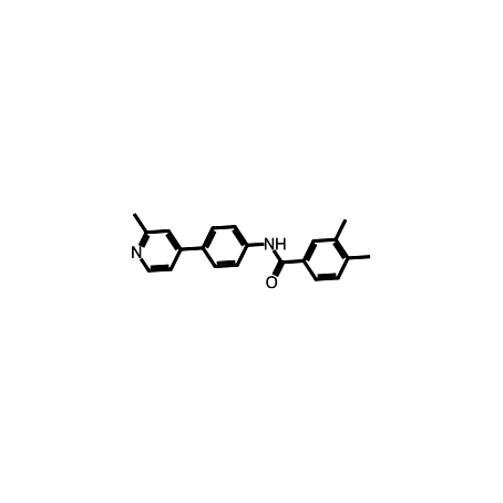 Cc1cc(-c2ccc(NC(=O)c3ccc(C)c(C)c3)cc2)ccn1